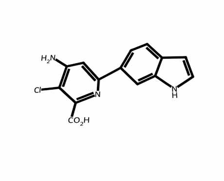 Nc1cc(-c2ccc3cc[nH]c3c2)nc(C(=O)O)c1Cl